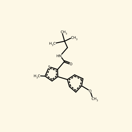 COc1ccc(-c2cc(C)sc2C(=O)NCC(C)(C)C)cc1